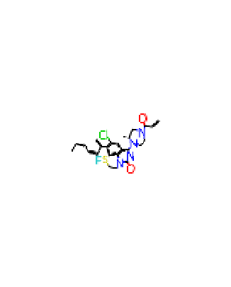 C=CC(=O)N1CCN(c2nc(=O)n3c4c(c(C(=C)/C(F)=C\C=C/C)c(Cl)cc24)SCC3)[C@@H](C)C1